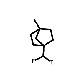 CC12CCC(C(F)F)(CC1)C2